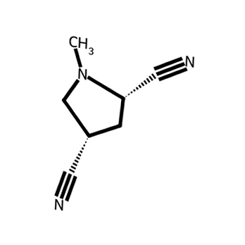 CN1C[C@@H](C#N)C[C@H]1C#N